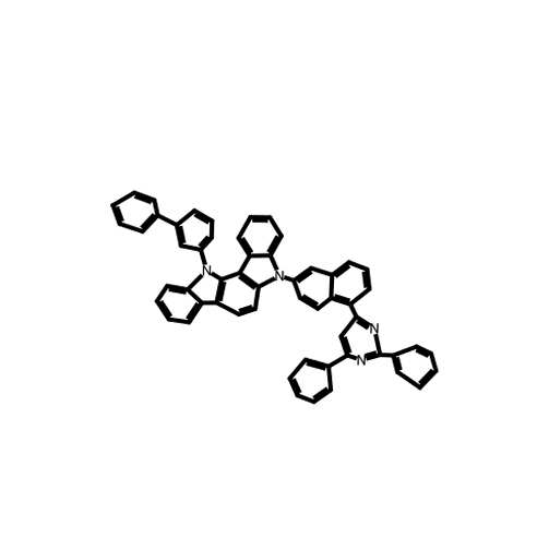 c1ccc(-c2cccc(-n3c4ccccc4c4ccc5c(c6ccccc6n5-c5ccc6c(-c7cc(-c8ccccc8)nc(-c8ccccc8)n7)cccc6c5)c43)c2)cc1